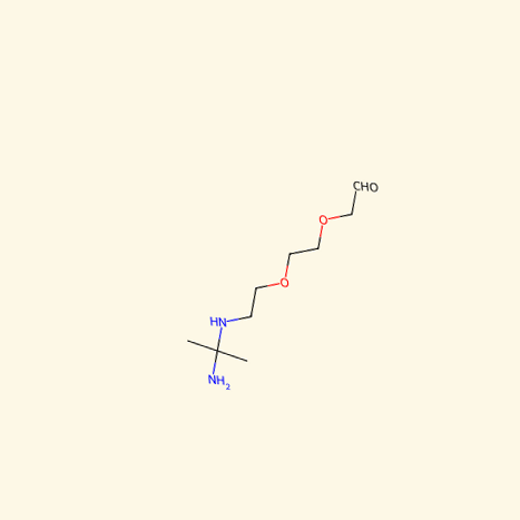 CC(C)(N)NCCOCCOCC=O